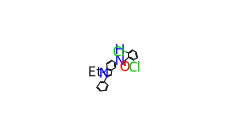 CCn1c(-c2ccccc2)cc2cc(NC(=O)c3c(Cl)cccc3Cl)ccc21